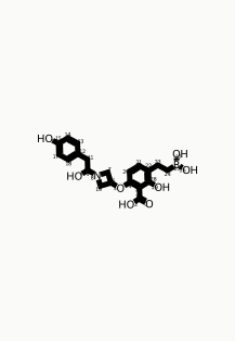 O=C(O)c1c(OC2CN(C(O)Cc3ccc(O)cc3)C2)ccc(CCB(O)O)c1O